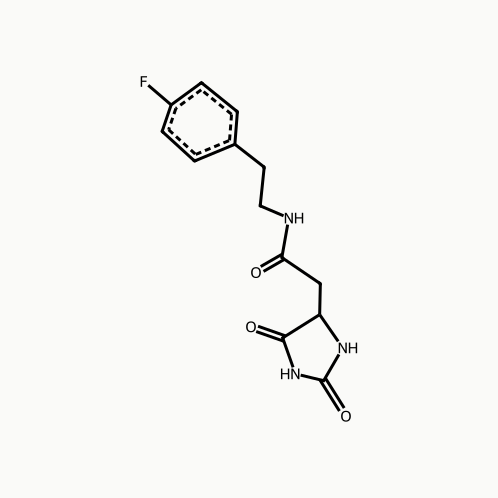 O=C(CC1NC(=O)NC1=O)NCCc1ccc(F)cc1